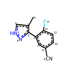 Cc1c[nH]nc1-c1cc(C#N)ccc1F